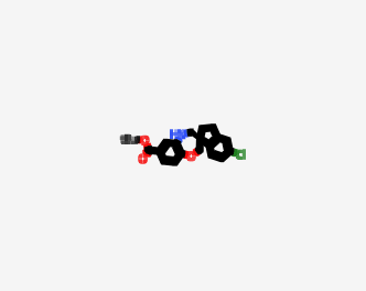 CC(C)(C)OC(=O)c1ccc2c(c1)NC[C@]1(CCc3cc(Cl)ccc31)CO2